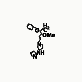 C=CC(OCc1ccccc1)C(/C=C/CN1CC[C@H](NC2=NC=C=C2)C1)OC